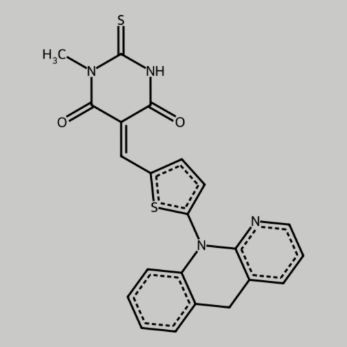 CN1C(=O)/C(=C/c2ccc(N3c4ccccc4Cc4cccnc43)s2)C(=O)NC1=S